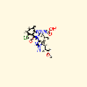 CCC(NC(=O)O)c1nc2cccc(Cl)c2c(=O)n1-c1cc(CCCOC)[nH]n1